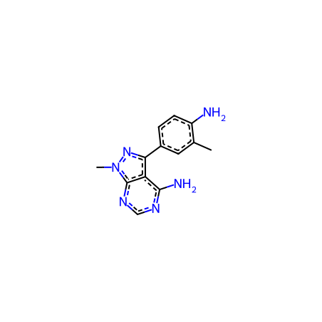 Cc1cc(-c2nn(C)c3ncnc(N)c23)ccc1N